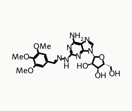 COc1cc(/C=N/Nc2nc(N)c3ncn([C@@H]4O[C@H](CO)[C@@H](O)[C@H]4O)c3n2)cc(OC)c1OC